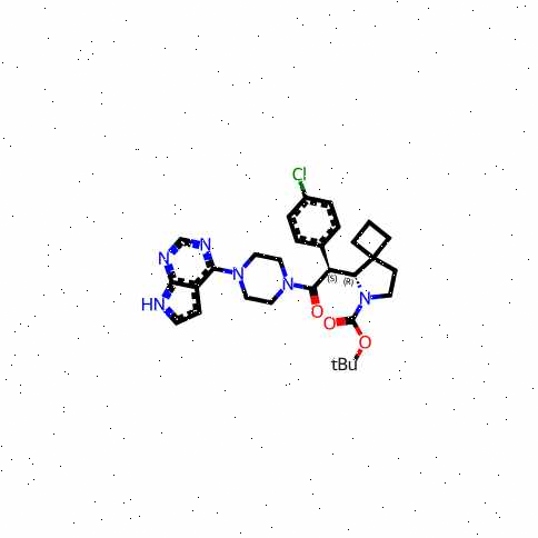 CC(C)(C)OC(=O)N1CCC2(CCC2)[C@H]1[C@@H](C(=O)N1CCN(c2ncnc3[nH]ccc23)CC1)c1ccc(Cl)cc1